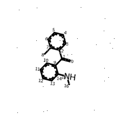 C=C(c1ccccc1C)c1ccccc1NC